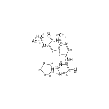 CC(=O)[C@H](C)Oc1cc2cc(Nc3nc(N4CCCCC4)ncc3Cl)ccc2n(C)c1=O